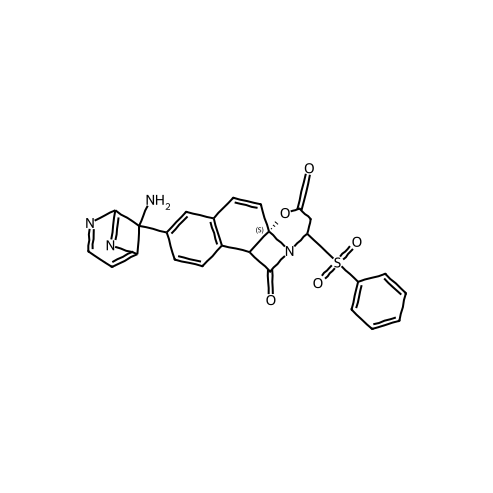 NC1(c2ccc3c(c2)C=C[C@@]24OC(=O)CC(S(=O)(=O)c5ccccc5)N2C(=O)C34)C2=CC=NC1=N2